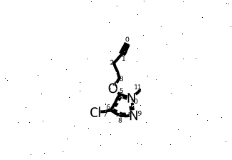 C#CCCOc1c(Cl)[c]nn1C